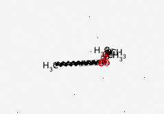 CCCCCCCCCCCCCCCCCCOC(=O)OOOC(C)(C)CC